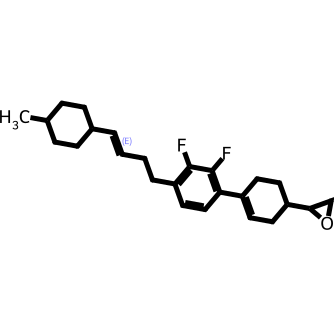 CC1CCC(/C=C/CCc2ccc(C3=CCC(C4CO4)CC3)c(F)c2F)CC1